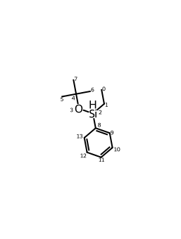 CC[SiH](OC(C)(C)C)c1ccccc1